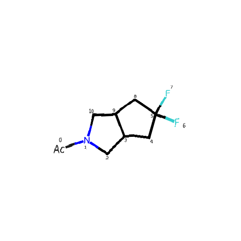 CC(=O)N1CC2CC(F)(F)CC2C1